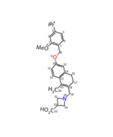 COc1cc(C(C)C)ccc1COc1ccc2c(c1)CCC(CN1CC(C(=O)O)C1)=C2C